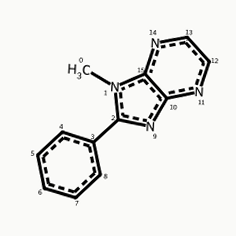 Cn1c(-c2ccccc2)nc2nc[c]nc21